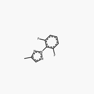 Cc1cnn(-c2c(F)cccc2F)n1